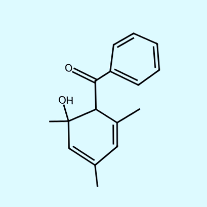 CC1=CC(C)(O)C(C(=O)c2ccccc2)C(C)=C1